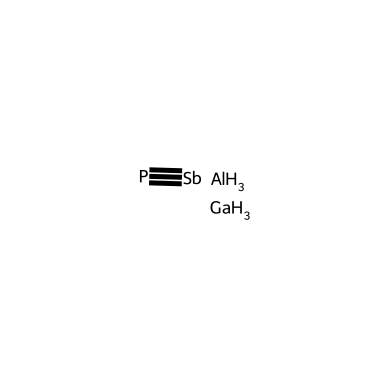 [AlH3].[GaH3].[P]#[Sb]